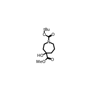 COC(=O)C1(O)CCCN(C(=O)OC(C)(C)C)CC1